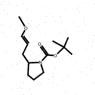 COC=CCC1CCCN1C(=O)OC(C)(C)C